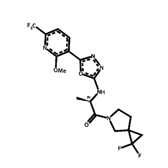 COc1nc(C(F)(F)F)ccc1-c1nnc(N[C@H](C)C(=O)N2CCC3(C2)CC3(F)F)o1